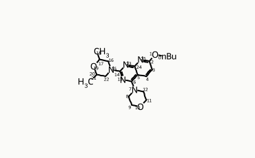 CCCCOc1ccc2c(N3CCOCC3)nc(N3CC(C)OC(C)C3)nc2n1